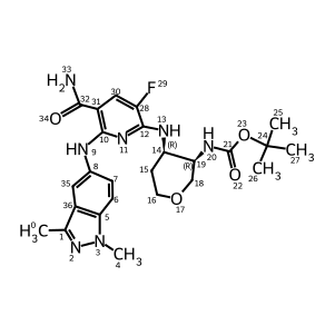 Cc1nn(C)c2ccc(Nc3nc(N[C@@H]4CCOC[C@@H]4NC(=O)OC(C)(C)C)c(F)cc3C(N)=O)cc12